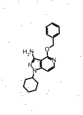 Nc1nn(C2CCCCC2)c2ccnc(OCc3ccccc3)c12